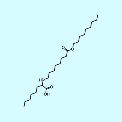 CCCCCCCCCOC(=O)CCCCCCCNC(CCCCCC)C(=O)O